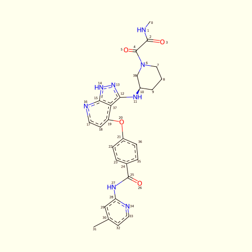 CNC(=O)C(=O)N1CCC[C@@H](Nc2n[nH]c3nccc(Oc4ccc(C(=O)Nc5cc(C)ccn5)cc4)c23)C1